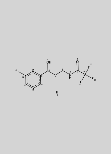 I.O=C(NCCC(O)c1cccc(I)c1)C(F)(F)F